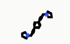 C(#Cc1ccc(C#CCN2CCCC2)cc1)CN1CCCC1